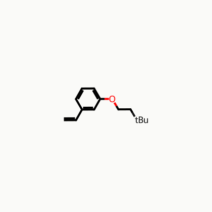 C=Cc1cccc(OCCC(C)(C)C)c1